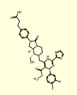 COC(=O)C1=C(CN2CCN3C(=O)N(c4ccc(CCC(=O)O)cc4)C[C@@H]3[C@H]2CO)NC(c2nccs2)=N[C@H]1c1ccc(F)c(F)c1